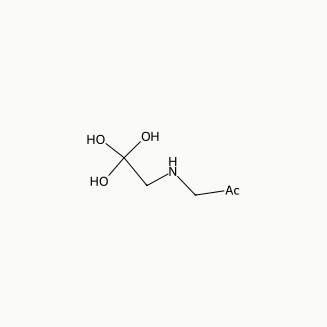 CC(=O)CNCC(O)(O)O